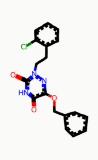 O=c1[nH]c(=O)n(CCc2ccccc2Cl)nc1OCc1ccccc1